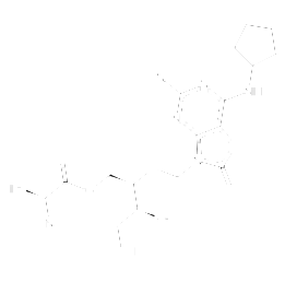 CC(C)[C@H](N)C(=O)OC[C@@H](OCn1c(=O)sc2c(NC3CCCC3)nc(N)nc21)[C@@H](O)CO